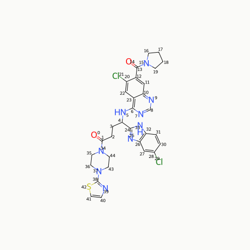 O=C(CCC(Nc1ncnc2cc(C(=O)N3CCCC3)c(Cl)cc12)c1nc2cc(Cl)ccc2[nH]1)N1CCN(c2nccs2)CC1